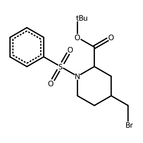 CC(C)(C)OC(=O)C1CC(CBr)CCN1S(=O)(=O)c1ccccc1